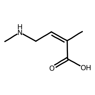 CNCC=C(C)C(=O)O